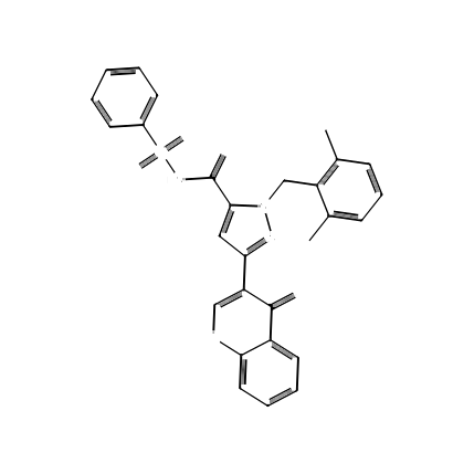 Cc1cccc(C)c1Cn1nc(-c2coc3ccccc3c2=O)cc1C(=O)NS(=O)(=O)c1ccccc1